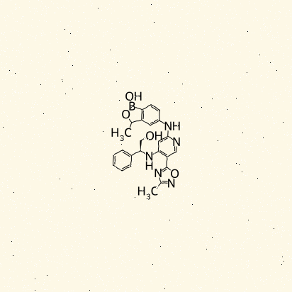 Cc1noc(-c2cnc(Nc3ccc4c(c3)C(C)OB4O)cc2N[C@H](CO)c2ccccc2)n1